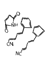 N#CC=CC=Cc1ccccc1.N#CC=CC=Cc1ccccc1.O=C1C=CC(=O)N1